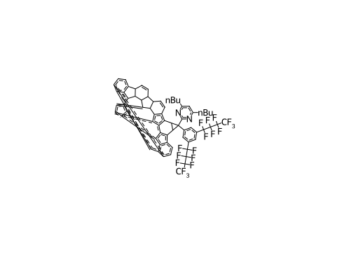 CCCCc1cc(CCCC)nc(C2(c3cc(C(F)(F)C(F)(F)C(F)(F)C(F)(F)F)cc(C(F)(F)C(F)(F)C(F)(F)C(F)(F)F)c3)C3c4c5c6c7c4c4c(c8ccc9c%10ccc%11c%12c%13c%14c(c7c7c%14c(c%12%10)c9c8c47)=C4C6C(C=C5)C5C=CC%11C%13C45)C32)n1